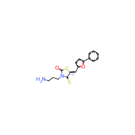 NCCCN1C(=O)S/C(=C\c2ccc(-c3ccccc3)o2)C1=S